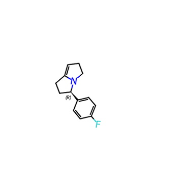 Fc1ccc([C@H]2CCC3=CCCN32)cc1